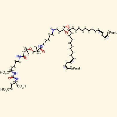 CCCCC/C=C\C/C=C\CCCCCCCCC1(CCCCCCCC/C=C\C/C=C\CCCCC)OCC(CCN(C)CCCCCNC(=O)C(C)(CC)COC(C)(C)CC(=O)NCCCC[C@@H](NC(=O)N[C@H](CCC(=O)O)C(=O)O)C(=O)O)O1